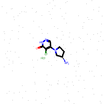 Cl.N[C@@H]1CCN(c2cn[nH]c(=O)c2Cl)C1